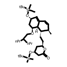 CCCC(CCC)CO[C@H]1C[C@H](O[Si](C)(C)C(C)(C)C)C=C2C=C[C@@H](C)[C@H](CC[C@@H]3C[C@@H](O[Si](C)(C)C(C)(C)C)CC(=O)O3)[C@H]21